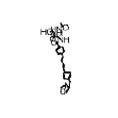 CC(=O)NC[C@H](NC(=O)c1ccc(/C=C/C#Cc2ccc(CN3CCOCC3)cc2)cc1)C(=O)NO